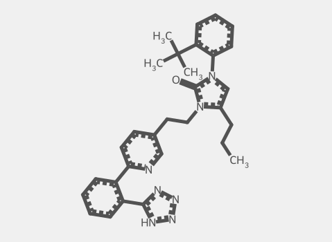 CCCc1cn(-c2ccccc2C(C)(C)C)c(=O)n1CCc1ccc(-c2ccccc2-c2nnn[nH]2)nc1